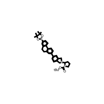 CC(C)(C)OC(=O)N1CCCC1N1Cc2ccc(-c3ccc4c(c3)CCc3cc(B5OC(C)(C)C(C)(C)O5)ccc3-4)cc2C1